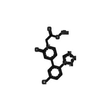 CC(C)(C)OC(=O)Cn1ccc(-c2cc(Cl)ccc2-n2cnnn2)cc1=O